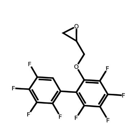 Fc1cc(-c2c(F)c(F)c(F)c(F)c2OCC2CO2)c(F)c(F)c1F